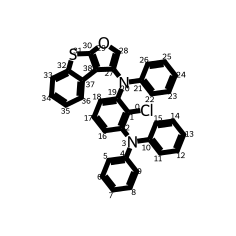 Clc1c(N(c2ccccc2)c2ccccc2)cccc1N(c1ccccc1)c1coc2sc3ccccc3c12